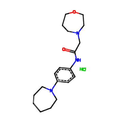 Cl.O=C(CN1CCCOCC1)Nc1ccc(N2CCCCCC2)cc1